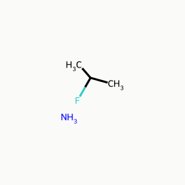 CC(C)F.N